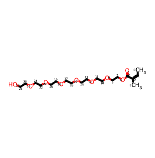 CC=C(C)C(=O)OCCOCCOCCOCCOCCOCCOCCO